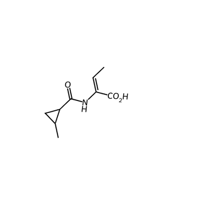 CC=C(NC(=O)C1CC1C)C(=O)O